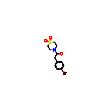 O=C(Cc1ccc(Br)cc1)N1CCS(=O)(=O)CC1